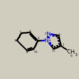 Cc1cnn(C2=CCCC=C2)c1